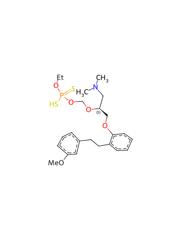 CCOP(=S)(S)OCO[C@H](COc1ccccc1CCc1cccc(OC)c1)CN(C)C